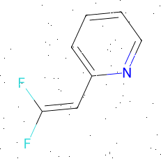 FC(F)=Cc1ccccn1